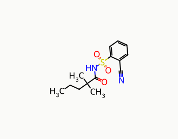 CCCC(C)(C)C(=O)NS(=O)(=O)c1ccccc1C#N